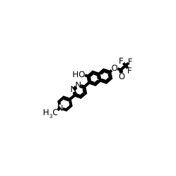 CN1CC=C(c2ccc(-c3cc4ccc(OC(=O)C(F)(F)F)cc4cc3O)nn2)CC1